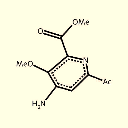 COC(=O)c1nc(C(C)=O)cc(N)c1OC